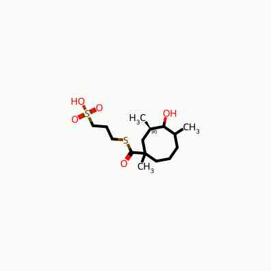 CC1CCCC(C)(C(=O)SCCCS(=O)(=O)O)C[C@@H](C)C1O